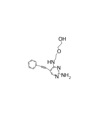 Nc1ncc(C#Cc2ccccc2)c(NCCOCCO)n1